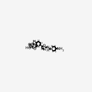 NC1CCN(CNc2nnc([C@@H]3CC[C@@H]4CN3C(=O)N4OS(=O)(=O)O)o2)CC1